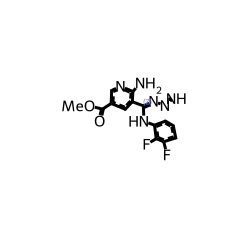 COC(=O)c1cnc(N)c(/C(=N/N=N)Nc2cccc(F)c2F)c1